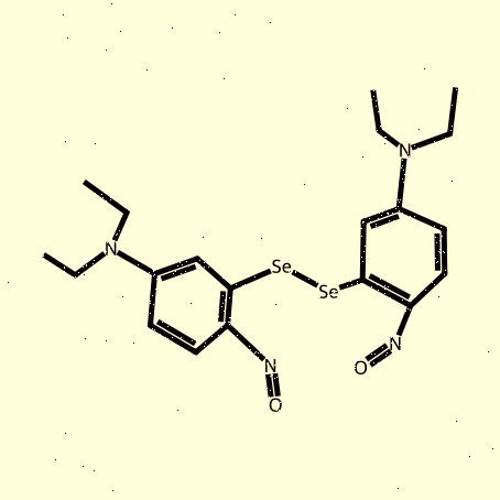 CCN(CC)c1ccc(N=O)c([Se][Se]c2cc(N(CC)CC)ccc2N=O)c1